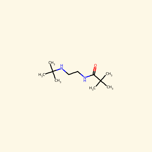 CC(C)(C)NCCNC(=O)C(C)(C)C